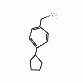 NCc1ccc(C2CCCC2)cc1